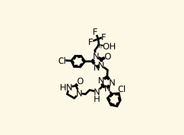 O=C1NCCN1CCNc1nc(Cn2nc(-c3ccc(Cl)cc3)n(C[C@H](O)C(F)(F)F)c2=O)nn1-c1ccccc1Cl